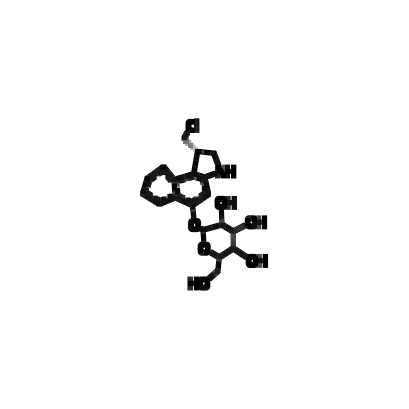 OCC1OC(Oc2cc3c(c4ccccc24)[C@H](CCl)CN3)C(O)C(O)C1O